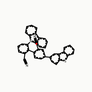 N#Cc1cc(-c2ccc3sc4ccccc4c3c2)ccc1-c1c(C#N)cccc1-n1c2ccccc2c2ccccc21